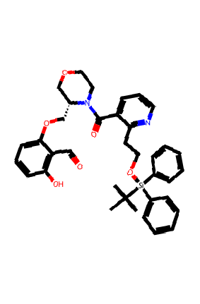 CC(C)(C)[Si](OCCc1ncccc1C(=O)N1CCOC[C@H]1COc1cccc(O)c1C=O)(c1ccccc1)c1ccccc1